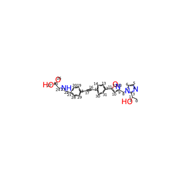 CC(O)c1nccn1Cc1cc(-c2ccc(C#Cc3ccc(CNCC(=O)O)cc3)cc2)on1